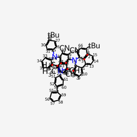 CC(C)(C)c1ccc(N(c2ccccc2-c2ccccc2)c2c(C#N)c(C#N)c(N(c3ccc(C(C)(C)C)cc3)c3ccccc3-c3ccccc3)c3c2C(C)(C)N(c2ccc(-c4ccccc4)cc2)C3(C)C)cc1